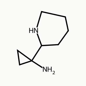 NC1(C2CCCCN2)CC1